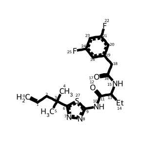 C=CCC(C)(C)c1nnc(NC(=O)C(CC)NC(=O)Cc2cc(F)cc(F)c2)s1